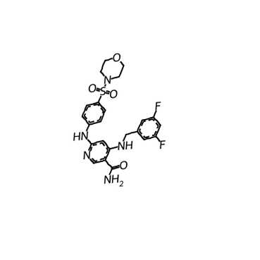 NC(=O)c1cnc(Nc2ccc(S(=O)(=O)N3CCOCC3)cc2)cc1NCc1cc(F)cc(F)c1